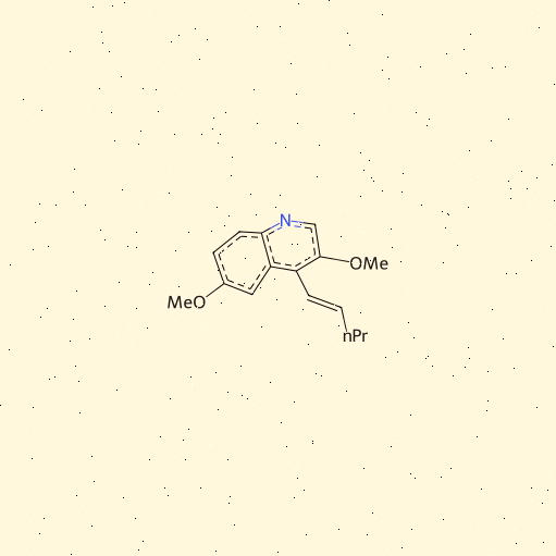 CCCC=Cc1c(OC)cnc2ccc(OC)cc12